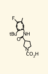 Cc1cc(NC(=O)C2CCN(C(=O)O)C2)c(C(C)(C)C)cc1F